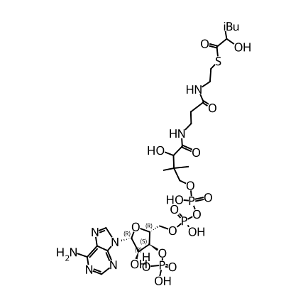 CCC(C)C(O)C(=O)SCCNC(=O)CCNC(=O)C(O)C(C)(C)COP(=O)(O)OP(=O)(O)OC[C@H]1O[C@@H](n2cnc3c(N)ncnc32)[C@H](O)[C@@H]1OP(=O)(O)O